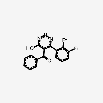 CCc1cccc(-c2nnnc(O)c2C(=O)c2ccccc2)c1CC